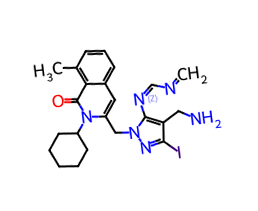 C=N/C=N\c1c(CN)c(I)nn1Cc1cc2cccc(C)c2c(=O)n1C1CCCCC1